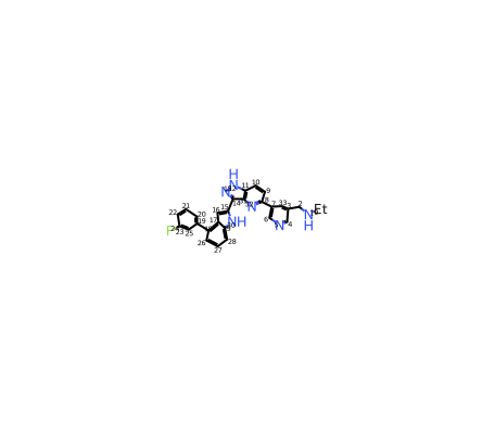 CCNCc1cncc(-c2ccc3[nH]nc(-c4cc5c(-c6cccc(F)c6)cccc5[nH]4)c3n2)c1